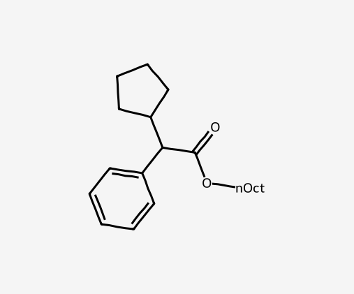 CCCCCCCCOC(=O)C(c1ccccc1)C1CCCC1